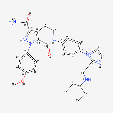 CCC(CC)NCc1nccn1-c1ccc(N2CCc3c(C(N)=O)nn(-c4ccc(OC)cc4)c3C2=O)cc1